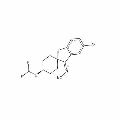 N#C/N=C1/c2cc(Br)ccc2C[C@]12CC[C@H](OC(F)F)CC2